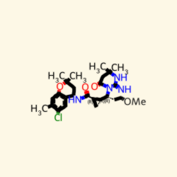 COCC[C@H]([C@@H]1C[C@H]1C(=O)NC1CC(C)(C)Oc2cc(C)c(Cl)cc21)N1C(=N)NC(C)(C)CC1=O